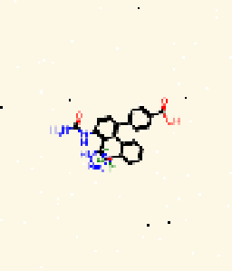 NC(=O)Nc1ccc(-c2ccc(C(=O)O)cc2)c(-c2ccccc2C(F)(F)F)c1-c1nnn[nH]1